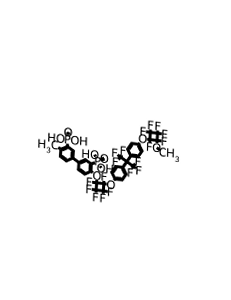 COC1(F)C(F)(F)C(F)(F)C1(F)Oc1ccc(C(c2ccc(OC3(F)C(F)(F)C(F)(F)C3(F)Oc3ccc(-c4ccc(C)c(P(=O)(O)O)c4)cc3P(=O)(O)O)cc2)(C(F)(F)F)C(F)(F)F)cc1